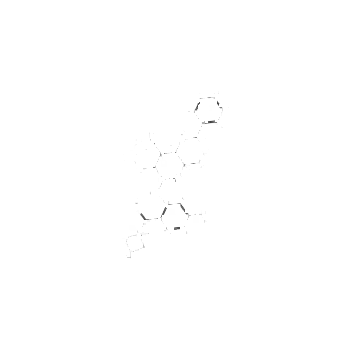 CCOC1C(Sc2cc(Br)cnc2C(=O)N2CCC2)OC2COC(c3ccccc3)OC2C1N